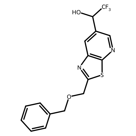 OC(c1cnc2sc(COCc3ccccc3)nc2c1)C(F)(F)F